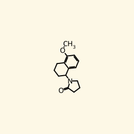 COc1cccc2c1CCCC2N1CCCC1=O